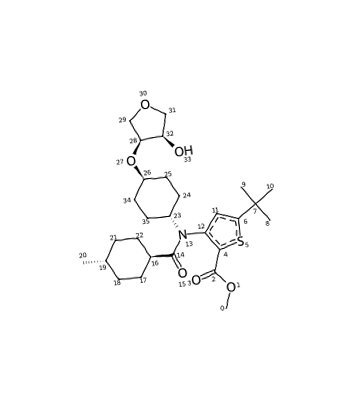 COC(=O)c1sc(C(C)(C)C)cc1N(C(=O)[C@H]1CC[C@H](C)CC1)[C@H]1CC[C@H](O[C@H]2COC[C@H]2O)CC1